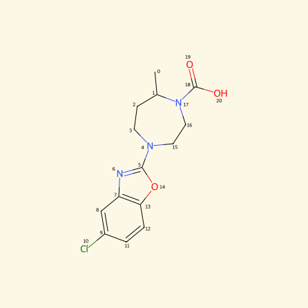 CC1CCN(c2nc3cc(Cl)ccc3o2)CCN1C(=O)O